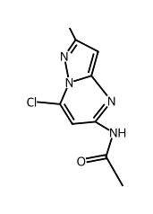 CC(=O)Nc1cc(Cl)n2nc(C)cc2n1